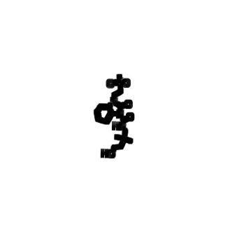 CC(C)(CCO)CNC(=O)n1c(=O)n(CCS(C)(=O)=O)c2ccccc21